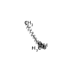 CCCCCCCCCCCCCCCCC=CC1(C)CC(=O)NC1=O